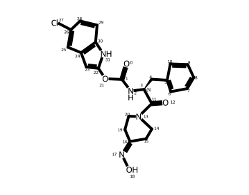 O=C(N[C@@H](Cc1ccccc1)C(=O)N1CCC(=NO)CC1)Oc1cc2cc(Cl)ccc2[nH]1